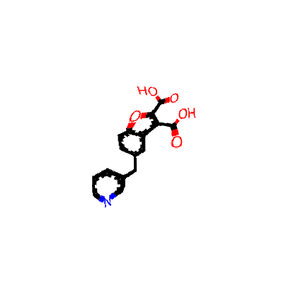 O=C(O)c1oc2ccc(Cc3cccnc3)cc2c1C(=O)O